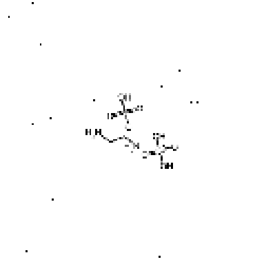 NCCN.O=S(=O)(O)O.O=S(=O)(O)O